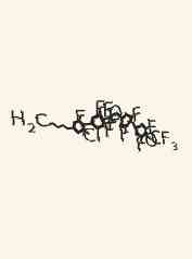 C=CCCCCc1cc(F)c(-c2cc(F)c(C(F)(F)Oc3cc(F)c(-c4cc(F)c(OC(F)(F)F)c(F)c4)c(F)c3)c(F)c2)c(Cl)c1